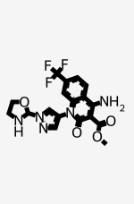 COC(=O)c1c(N)c2ccc(C(F)(F)F)cc2n(-c2cnn(C3NCCO3)c2)c1=O